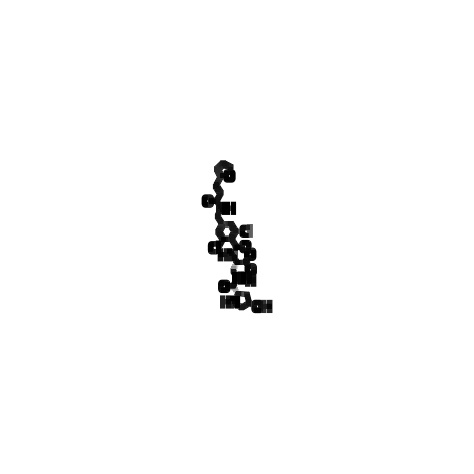 O=C(/C=C/c1ccco1)NCc1cc(Cl)c(C(=O)N[C@@H](CNC(=O)[C@@H]2C[C@@H](O)CN2)C(=O)O)c(Cl)c1